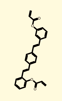 C=CC(=O)Oc1cccc(/C=C/c2ccc(/C=C/c3ccccc3OC(=O)C=C)cc2)c1